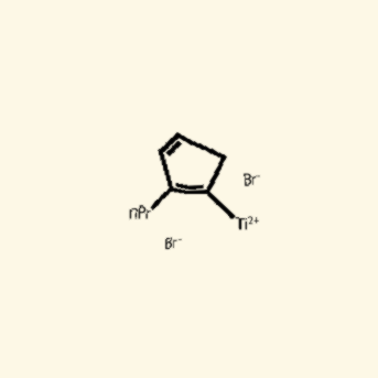 CCCC1=[C]([Ti+2])CC=C1.[Br-].[Br-]